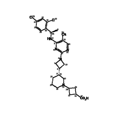 C[C@@H](Nc1nc(N2CC([C@H]3CCCN(C4CC(C(=O)O)C4)C3)C2)ncc1C#N)c1ccc(Cl)cc1Cl